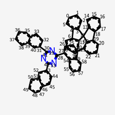 c1ccc2c(c1)-c1ccccc1C21c2ccccc2-c2cccc(-c3ccc(-c4nc(-c5ccc6ccccc6c5)nc(-c5ccc6ccccc6c5)n4)c4ccccc34)c21